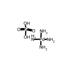 O=S(=O)(O)O.[NH2][Pd]([NH2])([NH2])[NH2]